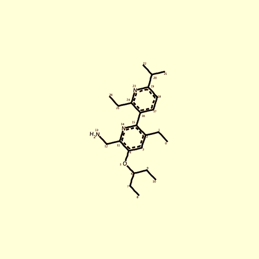 CCc1cc(OC(CC)CC)c(CN)nc1-c1ccc(C(C)C)nc1CC